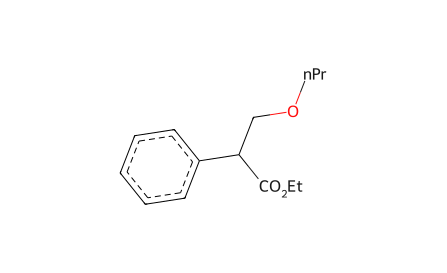 CCCOCC(C(=O)OCC)c1ccccc1